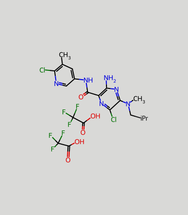 Cc1cc(NC(=O)c2nc(Cl)c(N(C)CC(C)C)nc2N)cnc1Cl.O=C(O)C(F)(F)F.O=C(O)C(F)(F)F